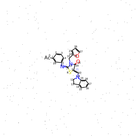 CC(=O)c1cccc(/N=C2/S/C(=C\N3CCc4ccccc43)C(=O)N2Cc2ccco2)c1